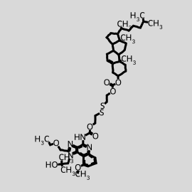 CCOCc1nc2c(NC(=O)OCCSSCCOC(=O)OC3CCC4(C)C(=CCC5C4CCC4(C)C(C(C)CCCC(C)C)CCC54)C3)nc3cccc(OC)c3c2n1CC(C)(C)O